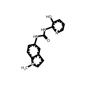 Cn1ccc2cc(NC(=O)Nc3ncccc3O)ccc21